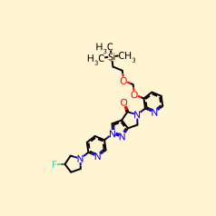 C[Si](C)(C)CCOCOc1cccnc1N1Cc2nn(-c3ccc(N4CC[C@@H](F)C4)nc3)cc2C1=O